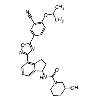 CC(C)Oc1ccc(-c2nc(-c3cccc4c3CC[C@H]4NC(=O)N3CCC[C@@H](O)C3)no2)cc1C#N